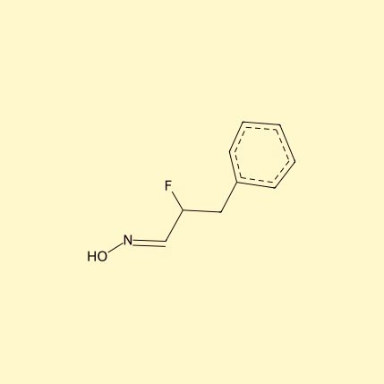 ON=CC(F)Cc1ccccc1